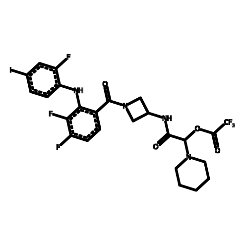 O=C(NC1CN(C(=O)c2ccc(F)c(F)c2Nc2ccc(I)cc2F)C1)C(OC(=O)C(F)(F)F)N1CCCCC1